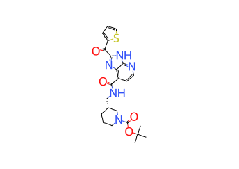 CC(C)(C)OC(=O)N1CCC[C@H](CNC(=O)c2ccnc3[nH]c(C(=O)c4cccs4)nc23)C1